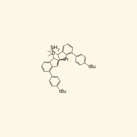 CC1=Cc2c(-c3ccc(C(C)(C)C)cc3)cccc2[CH]1[Zr]([CH3])([CH3])(=[SiH2])[CH]1C(C(C)C)=Cc2c(-c3ccc(C(C)(C)C)cc3)cccc21